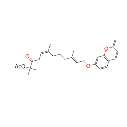 C=C1C=Cc2ccc(OC/C=C(\C)CCC/C(C)=C\CC(=O)C(C)(C)OC(C)=O)cc2O1